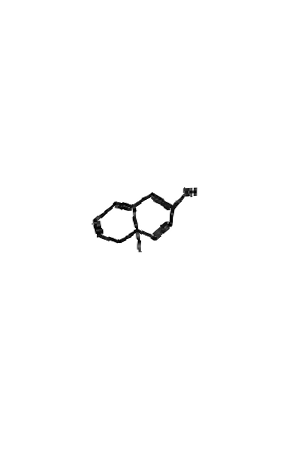 CC12C=CC(S)=CC1=CC=CC2